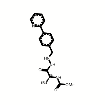 COC(=O)N[C@H](C(=O)NNCc1ccc(-c2ccccn2)cc1)C(C)(C)C